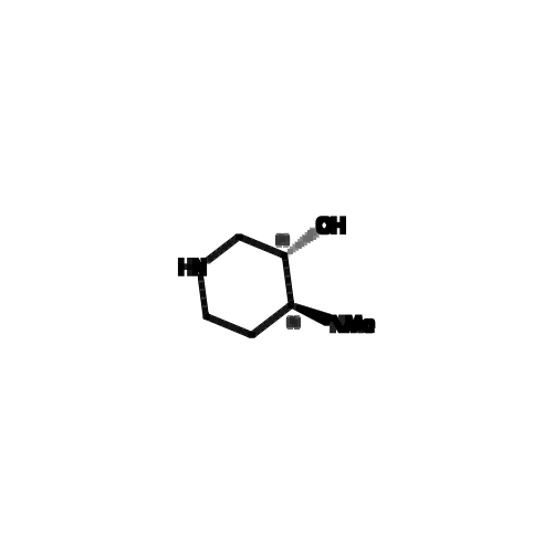 CN[C@H]1CCNC[C@@H]1O